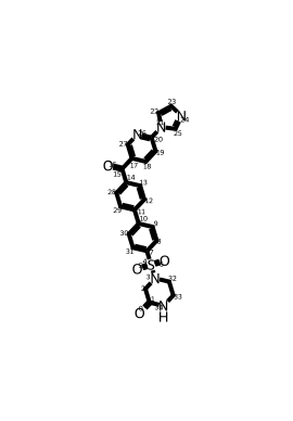 O=C1CN(S(=O)(=O)c2ccc(-c3ccc(C(=O)c4ccc(-n5ccnc5)nc4)cc3)cc2)CCN1